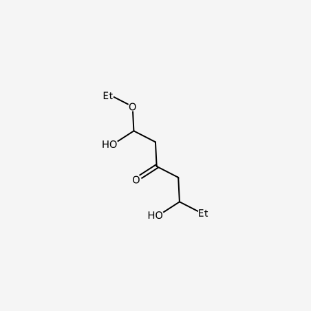 CCOC(O)CC(=O)CC(O)CC